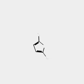 O=[N+]([O-])c1ccc([N+](=O)[O-])s1